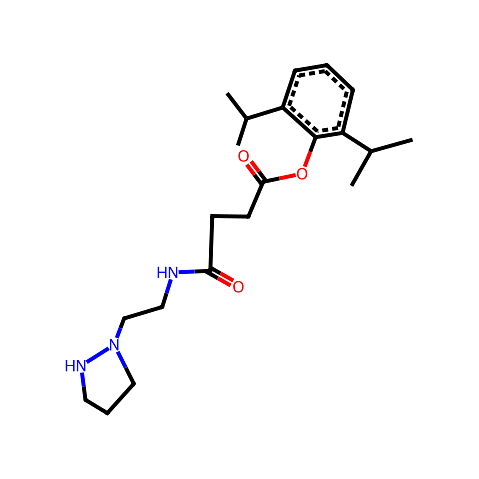 CC(C)c1cccc(C(C)C)c1OC(=O)CCC(=O)NCCN1CCCN1